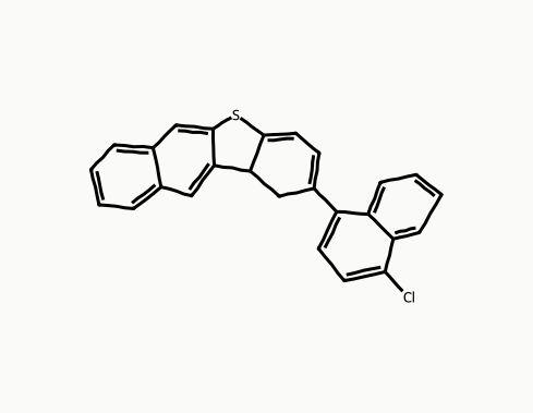 Clc1ccc(C2=CC=C3Sc4cc5ccccc5cc4C3C2)c2ccccc12